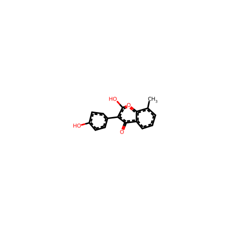 Cc1cccc2c(=O)c(-c3ccc(O)cc3)c(O)oc12